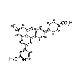 Cc1cc(C(=O)CC(c2ccc(N3CCC(C(=O)O)CC3)cc2)c2ccc(F)cc2F)ccn1